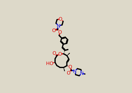 C/C(=C\c1cccc(COC(=O)N2CCOCC2)c1)[C@H]1OC(=O)C[C@H](O)CC[C@H](C)[C@@H](OC(=O)N2CCN(C)CC2)/C=C/[C@@H]1C